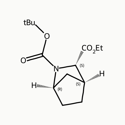 CCOC(=O)[C@@H]1[C@H]2CC[C@H](C2)N1C(=O)OC(C)(C)C